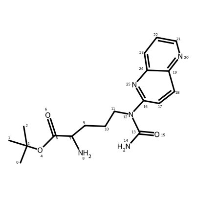 CC(C)(C)OC(=O)C(N)CCCN(C(N)=O)c1ccc2ncccc2n1